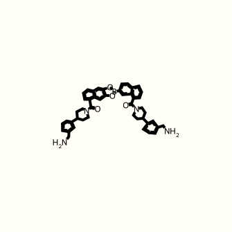 NCc1cccc(C2CCN(C(=O)c3cccc4ccc(B5Oc6cc7cccc(C(=O)N8CCC(c9cccc(CN)c9)CC8)c7cc6O5)cc34)CC2)c1